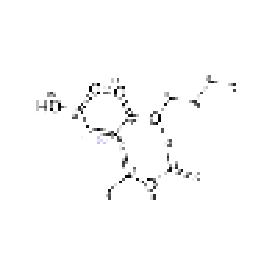 C=C(C)OC(=C)C.CCCCOC(=O)/C=C\C(=O)O